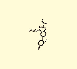 C/C=C(\C)c1nc(NC)c2cc(-c3ccc(F)cc3F)ccc2n1